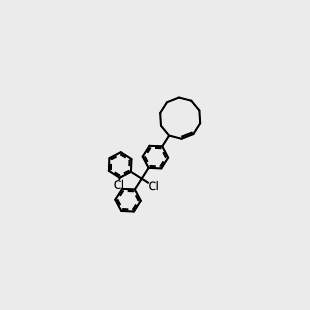 Clc1ccccc1C(Cl)(c1ccccc1)c1ccc(C2/C=C\CCCCCCC2)cc1